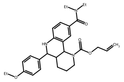 C=CCOC(=O)N1CCCC2C(c3ccc(OCC)cc3)Nc3ccc(C(=O)N(CC)CC)cc3C21